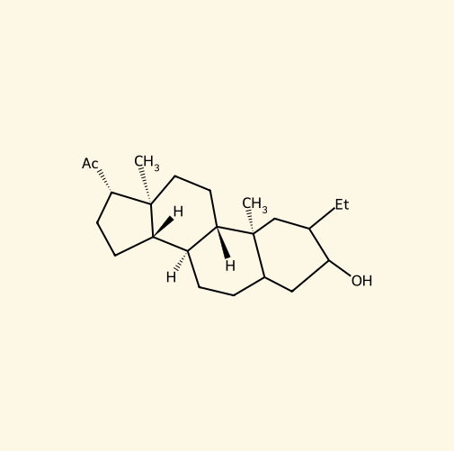 CCC1C[C@@]2(C)C(CC[C@H]3[C@@H]4CC[C@H](C(C)=O)[C@@]4(C)CC[C@@H]32)CC1O